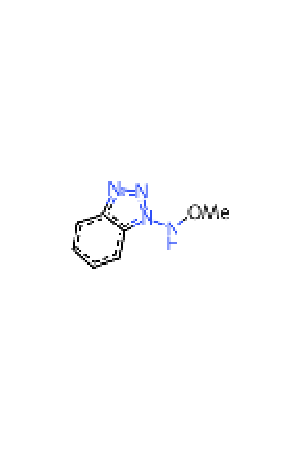 CONn1nnc2ccccc21